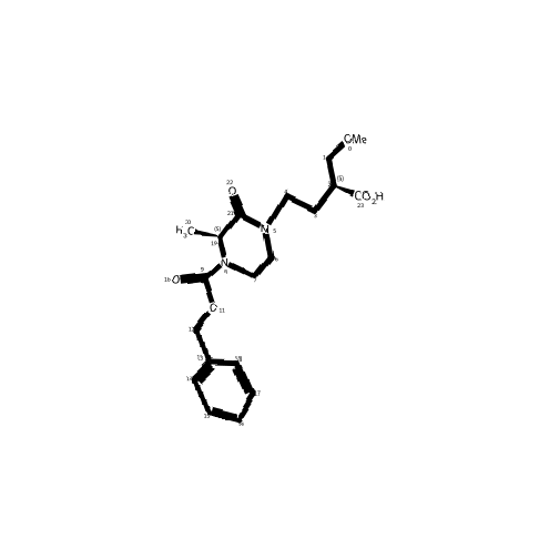 COC[C@H](CCN1CCN(C(=O)OCc2ccccc2)[C@@H](C)C1=O)C(=O)O